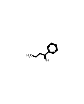 CCCC(=N)c1c[c]ccc1